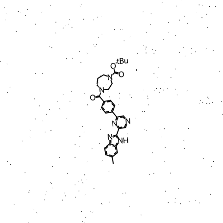 Cc1ccc2nc(-c3cncc(-c4ccc(C(=O)N5CCCN(C(=O)OC(C)(C)C)CC5)cc4)n3)[nH]c2c1